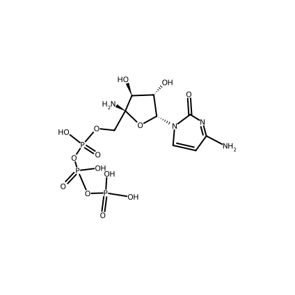 Nc1ccn([C@@H]2O[C@](N)(COP(=O)(O)OP(=O)(O)OP(=O)(O)O)[C@@H](O)[C@@H]2O)c(=O)n1